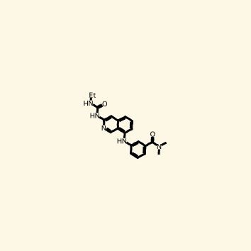 CCNC(=O)Nc1cc2cccc(Nc3cccc(C(=O)N(C)C)c3)c2cn1